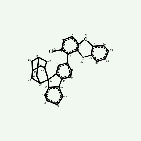 Clc1ccc2c(c1-c1ccc3c(c1)C1(c4ccccc4-3)C3CC4CC(C3)CC1C4)Sc1ccccc1O2